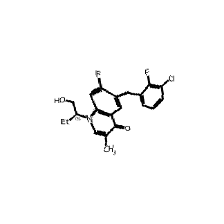 CC[C@@H](CO)n1cc(C)c(=O)c2cc(Cc3cccc(Cl)c3F)c(F)cc21